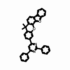 CC1(C)c2ccc(-c3cc(-c4ccccc4)nc(-c4ccccc4)n3)cc2Oc2c1ccc1c2oc2ccccc21